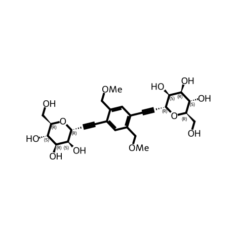 COCc1cc(C#C[C@H]2O[C@H](CO)[C@@H](O)[C@H](O)[C@@H]2O)c(COC)cc1C#C[C@H]1O[C@H](CO)[C@@H](O)[C@H](O)[C@@H]1O